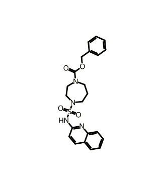 O=C(OCc1ccccc1)N1CCCN(S(=O)(=O)Nc2ccc3ccccc3n2)CC1